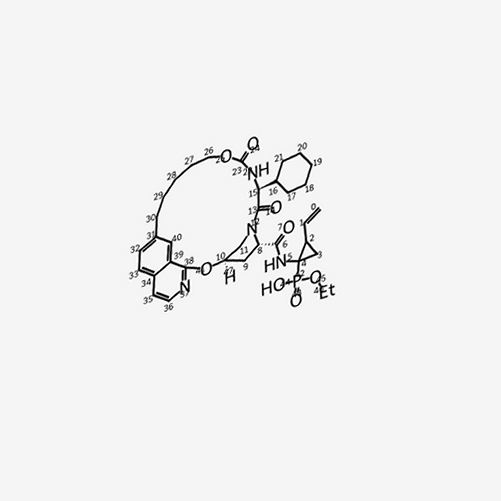 C=CC1CC1(NC(=O)[C@@H]1C[C@@H]2CN1C(=O)[C@H](C1CCCCC1)NC(=O)OCCCCCc1ccc3ccnc(c3c1)O2)P(=O)(O)OCC